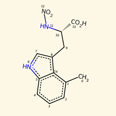 Cc1cccc2[nH]cc(C[C@H](N[N+](=O)[O-])C(=O)O)c12